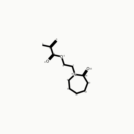 C=C(C)C(=O)OCCN1CCCCCC1=O